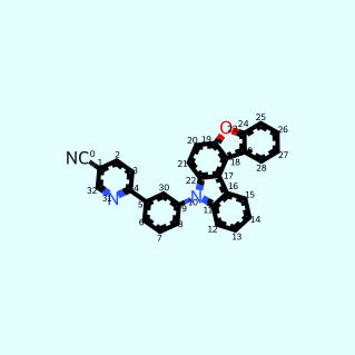 N#Cc1ccc(-c2cccc(-n3c4ccccc4c4c5c(ccc43)oc3ccccc35)c2)nc1